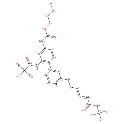 COCCOC(=O)Nc1ccc(-c2ccnc(CCC=CNC(=O)OC(C)(C)C)c2)c(NC(=O)C(F)(F)F)c1